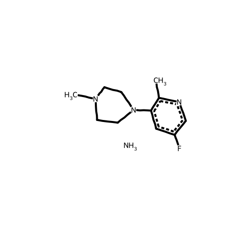 Cc1ncc(F)cc1N1CCN(C)CC1.N